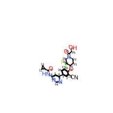 N#Cc1cc(-c2cc(NC(=O)C3CC3)ncn2)ccc1OC1CCN(C(=O)CO)CC1(F)F